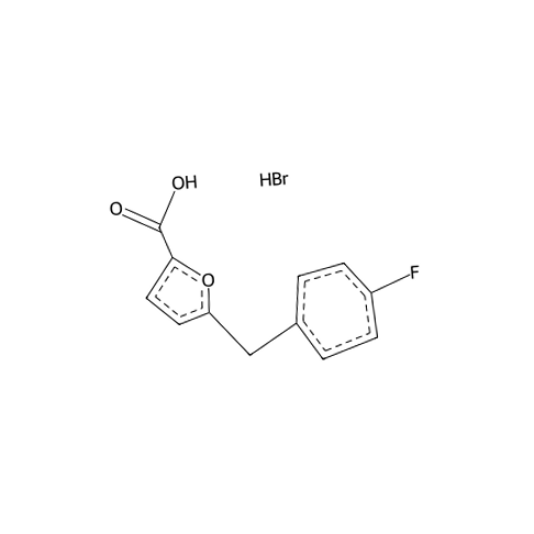 Br.O=C(O)c1ccc(Cc2ccc(F)cc2)o1